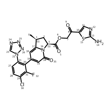 C[C@H]1C[C@@H](C(=O)OCC(=O)c2cnc(N)s2)n2c1cc(-c1c(-n3cnnn3)ccc(Cl)c1F)cc2=O